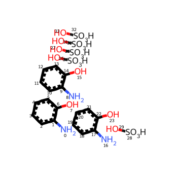 Nc1ccccc1O.Nc1ccccc1O.Nc1ccccc1O.O=S(=O)(O)O.O=S(=O)(O)O.O=S(=O)(O)O.O=S(=O)(O)O.O=S(=O)(O)O